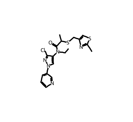 CCN(C(=O)C(C)SCc1csc(C)n1)c1cn(-c2cccnc2)nc1Cl